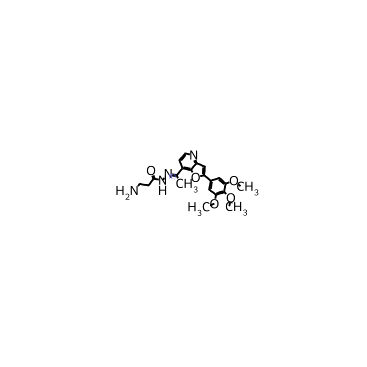 COc1cc(-c2cc3nccc(/C(C)=N/NC(=O)CCN)c3o2)cc(OC)c1OC